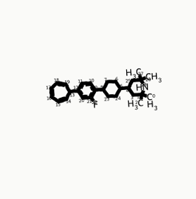 CC1(C)CC(C2CCC(c3ccc(C4C=CC=CC=C4)cc3F)CC2)CC(C)(C)N1